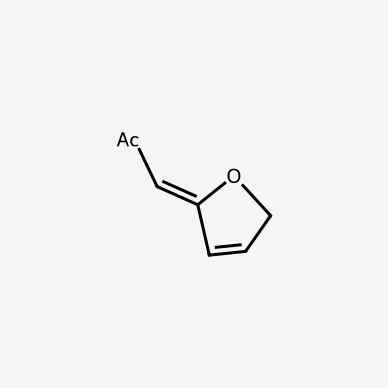 CC(=O)C=C1C=CCO1